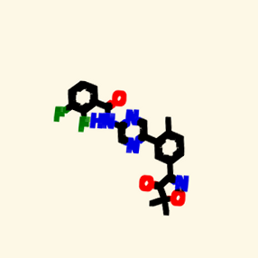 Cc1ccc(C2=NOC(C)(C)C2=O)cc1-c1cnc(NC(=O)c2cccc(F)c2F)cn1